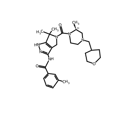 Cc1cccc(C(=O)Nc2n[nH]c3c2CN(C(=O)N2CCN(CC4CCOCC4)C[C@@H]2C)C3(C)C)c1